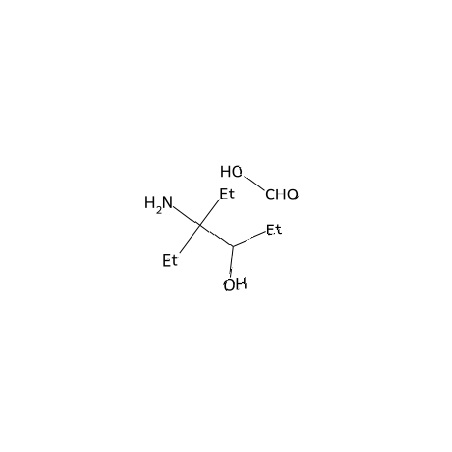 CCC(O)C(N)(CC)CC.O=CO